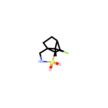 CC1(C)C2CCC13CNS(=O)(=O)C3C2F